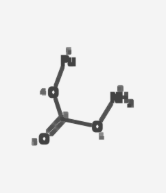 NOC(=O)[O][Pu]